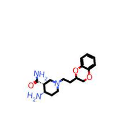 NC(=O)[C@@H]1CN(CCC2COc3ccccc3O2)CC[C@@H]1N